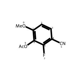 COc1ccc(C#N)c(F)c1OC(C)=O